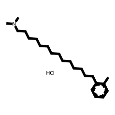 Cc1ccccc1CCCCCCCCCCCCCCN(C)C.Cl